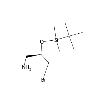 CC(C)(C)[Si](C)(C)O[C@H](CN)CBr